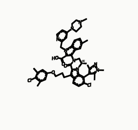 Cc1ccc2c(c1)c(N1C[C@@H](C)n3c(c(CCCOc4cc(C)c(Cl)c(C)c4)c4ccc(Cl)c(-c5c(C)nn(C)c5C)c43)C1=O)c(C(=O)O)n2Cc1cc(N2CCN(C)CC2)ccn1